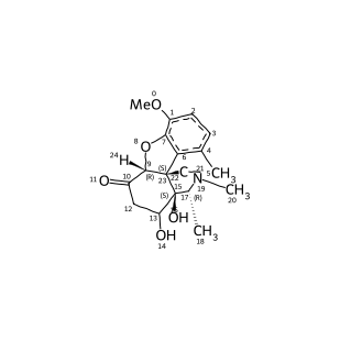 COc1ccc(C)c2c1O[C@H]1C(=O)CC(O)[C@@]3(O)[C@@H](C)N(C)CC[C@]213